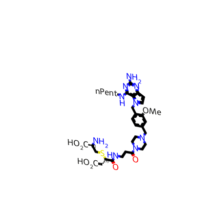 CCCCCNc1nc(N)nc2ccn(Cc3ccc(CN4CCN(C(=O)CCNC(=O)[C@H](CC(=O)O)SC[C@H](N)C(=O)O)CC4)cc3OC)c12